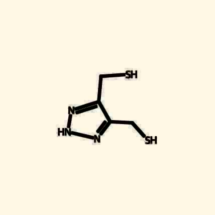 SCc1n[nH]nc1CS